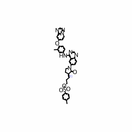 Cc1ccc(S(=O)(=O)OCC/C=C2\CCN(c3ccc4ncnc(Nc5ccc(Oc6ccn7ncnc7c6)c(C)c5)c4c3)C2=O)cc1